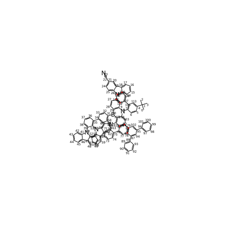 CC(C)(C)c1ccc(N2c3cc(-n4c5ccccc5c5cc(C#N)ccc54)ccc3B3c4ccc(-c5cccc(-n6c7ccccc7c7ccccc76)c5-n5c6ccccc6c6ccccc65)cc4N(c4ccccc4-c4ccccc4)c4cc(-c5cc(-c6ccccc6)cc(-c6ccccc6)c5)cc2c43)c(-c2ccccc2)c1